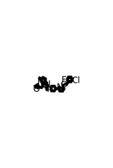 Cc1ccc2nc(C(C)N3CCC(c4cccc(OCc5cc(Cl)ccc5F)n4)CC3)n(CC3CCO3)c2n1